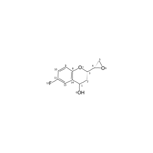 OC1C[C@@H]([C@@H]2CO2)Oc2ccc(F)cc21